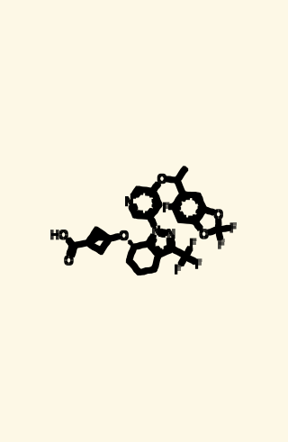 CC(Oc1cncc(-n2nc(C(F)(F)F)c3c2[C@@H](OC24CC(C(=O)O)(C2)C4)CCC3)c1)c1cc2c(cc1F)OC(F)(F)O2